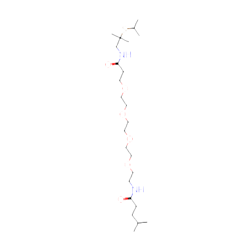 CC(C)CCC(=O)NCCOCCOCCOCCOCCC(=O)NCC(C)(C)SC(C)C